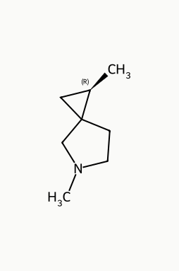 C[C@@H]1CC12CCN(C)C2